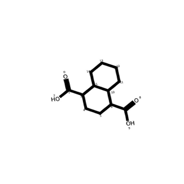 O=C(O)C1CCC(C(=O)O)C2CCCCC12